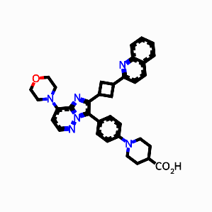 O=C(O)C1CCN(c2ccc(-c3c(C4CC(c5ccc6ccccc6n5)C4)nc4c(N5CCOCC5)ccnn34)cc2)CC1